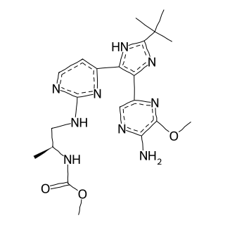 COC(=O)N[C@@H](C)CNc1nccc(-c2[nH]c(C(C)(C)C)nc2-c2cnc(N)c(OC)n2)n1